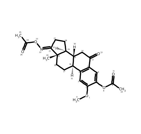 COc1cc2c(cc1OC(C)=O)C(=O)C[C@@H]1[C@@H]2CC[C@]2(C)C(=NOC(C)=O)CC[C@@H]12